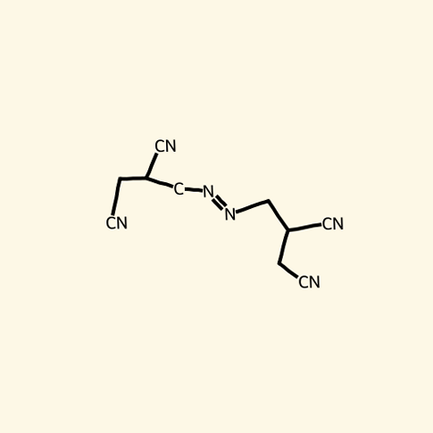 N#CCC(C#N)CN=NCC(C#N)CC#N